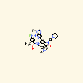 COCCNC(O)c1cc(Nc2nc(-c3ccc4c(c3)N([C@H]3C[C@@H](N5CCCCC5)C3)C(=O)C43CCN(C(C)=O)CC3)cc3ncn(C(C)C)c23)c(F)cc1C